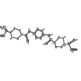 C=C(O)C1CCC(C(=O)Oc2ccc(OC(=O)C3CCC(C(=O)OC)CC3)cc2)CC1